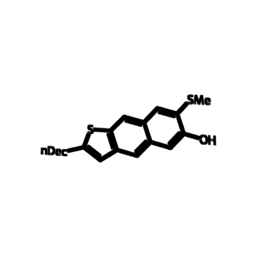 CCCCCCCCCCc1cc2cc3cc(O)c(SC)cc3cc2s1